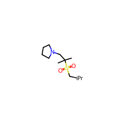 CC(C)CS(=O)(=O)C(C)(C)CN1CCCC1